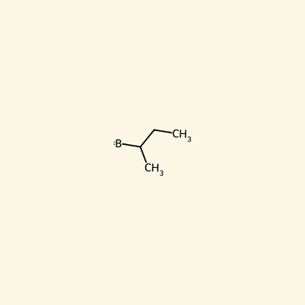 [B]C(C)CC